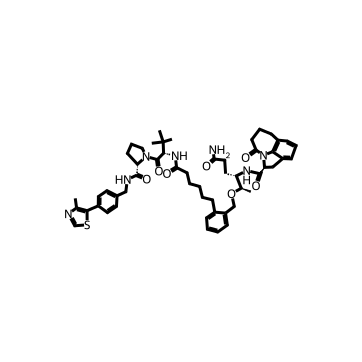 Cc1ncsc1-c1ccc(CNC(=O)[C@@H]2CCCN2C(=O)[C@@H](NC(=O)CCCCCc2ccccc2CO[C@H](C)[C@H](CCC(N)=O)NC(=O)[C@@H]2Cc3cccc4c3N2C(=O)CCC4)C(C)(C)C)cc1